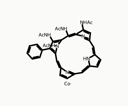 CC(=O)NC1=Cc2cc3ccc(cc4nc(cc5c(-c6ccccc6)c(NC(C)=O)c(c(NC(C)=O)c1n2)n5NC(C)=O)C=C4)[nH]3.[Co]